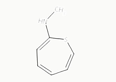 CNC1=CC=CC=CS1